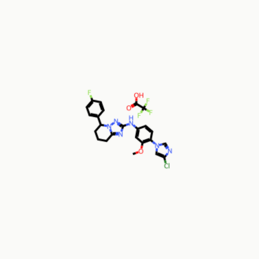 COc1cc(Nc2nc3n(n2)C(c2ccc(F)cc2)CCC3)ccc1-n1cnc(Cl)c1.O=C(O)C(F)(F)F